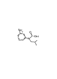 CC(C)CN(C(=O)O)c1cccc(N)c1